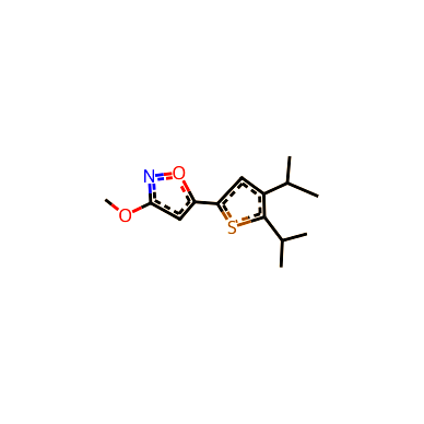 COc1cc(-c2cc(C(C)C)c(C(C)C)s2)on1